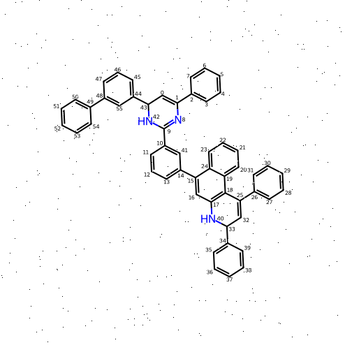 C1=C(c2ccccc2)N=C(c2cccc(-c3cc4c(c5ccccc35)C(c3ccccc3)=CC(c3ccccc3)N4)c2)NC1c1cccc(-c2ccccc2)c1